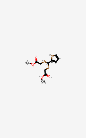 COC(=O)CSC(SCC(=O)OC)c1cccs1